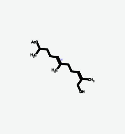 CC(=O)OC(C)CC/C=C(\C)CCC=C(C)CO